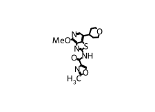 COc1ncc(C2CCOCC2)c2sc(NC(=O)c3coc(C)n3)nc12